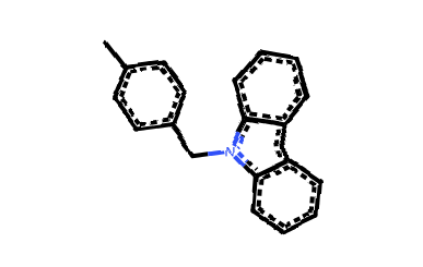 Cc1ccc(Cn2c3ccccc3c3ccccc32)cc1